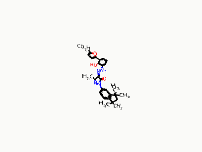 CC1=NN(c2ccc3c(c2)C(C)(C)CC3(C)C)C(=O)C1=NNc1cccc(-c2ccc(C(=O)O)o2)c1O